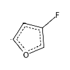 Fc1c[c]oc1